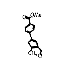 COC(=O)c1ccc(C2=CC(CCl)=C(C)C2)cc1